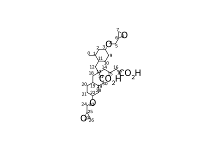 CC1CC(OCC2CO2)CCC1CC(CCCC(=O)O)(CC1CCC(OCC2CO2)CC1C)C(=O)O